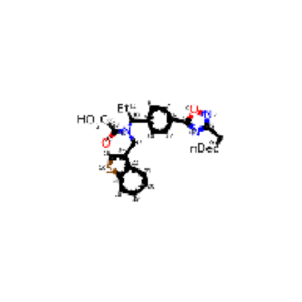 CCCCCCCCCCCc1noc(-c2ccc(C(CC)N(Cc3csc4ccccc34)C(=O)C(=O)O)cc2)n1